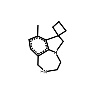 Cc1ccc2c3c1C1(CCC1)CN3CCNC2